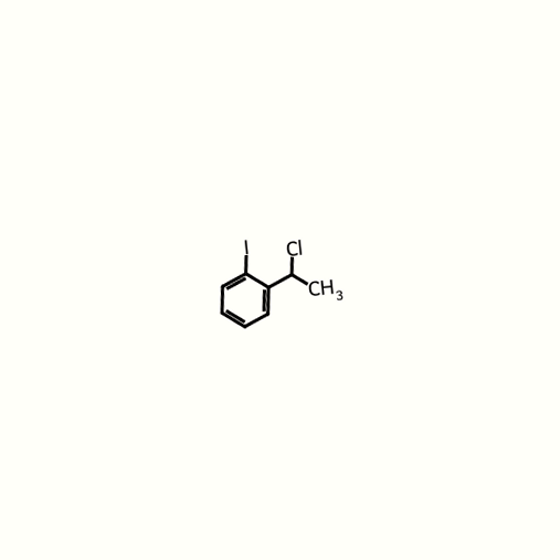 CC(Cl)c1ccccc1I